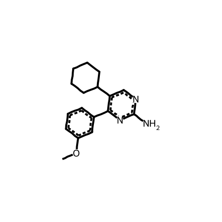 COc1cccc(-c2nc(N)ncc2C2CCCCC2)c1